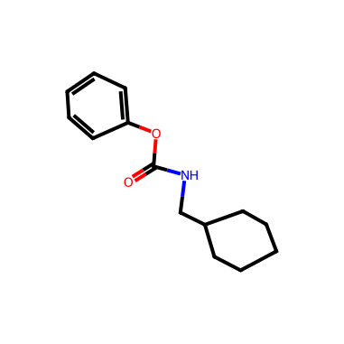 O=C(NCC1CCCCC1)Oc1ccccc1